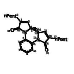 CCCCCC1=CC(=O)N(c2ccccc2N2C(=O)C=C(CCCCC)C2=O)C1=O